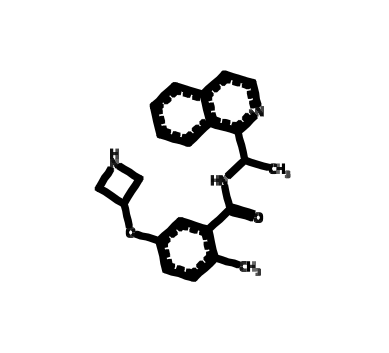 Cc1ccc(OC2CNC2)cc1C(=O)NC(C)c1nccc2ccccc12